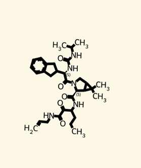 C=CCNC(=O)C(=O)C(CCC)NC(=O)[C@@H]1C2C(CN1C(=O)[C@@H](NC(=O)NC(C)C)C1Cc3ccccc3C1)C2(C)C